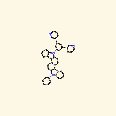 c1ccc(-n2c3ccccc3c3c4ccc5c(c4ccc32)c2ccccc2n5-c2cc(-c3cccnc3)cc(-c3cccnc3)c2)cc1